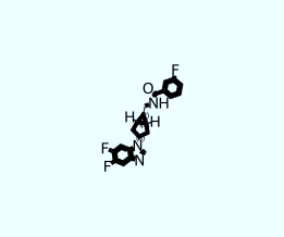 O=C(NC[C@@H]1[C@H]2C[C@H](n3cnc4cc(F)c(F)cc43)C[C@@H]12)c1cccc(F)c1